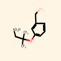 BCc1cccc(OC(CS(=O)(=O)O)(C(F)(F)F)C(F)(F)F)c1